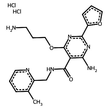 Cc1cccnc1CNC(=O)c1c(N)nc(-c2ccco2)nc1OCCCN.Cl.Cl